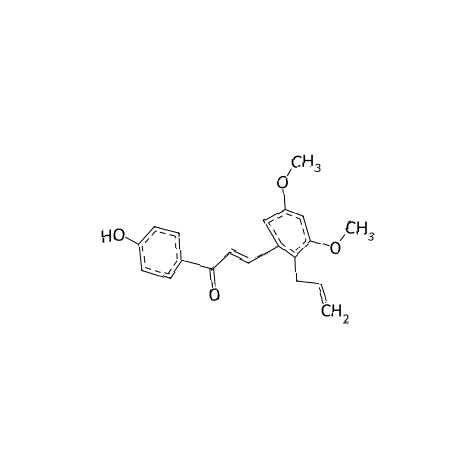 C=CCc1c(C=CC(=O)c2ccc(O)cc2)cc(OC)cc1OC